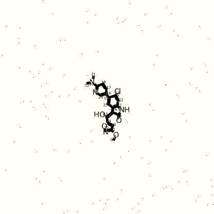 COc1cc(/C(O)=C2\C(=O)Nc3cc(Cl)c(-c4ccc(N(C)C)nc4)cc32)on1